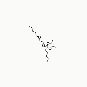 CCCCCOCCO[Si](CCCCC)(OCC)OCC